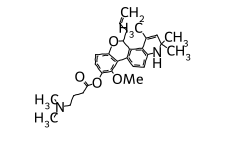 C=CCC1Oc2ccc(OC(=O)CCCN(C)C)c(OC)c2-c2ccc3c(c21)C(C)=CC(C)(C)N3